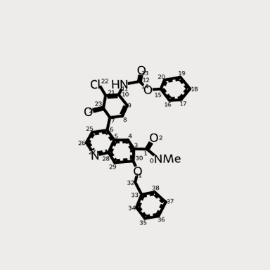 CNC(=O)c1cc2c(C3C=CC(NC(=O)Oc4ccccc4)=C(Cl)C3=O)ccnc2cc1OCc1ccccc1